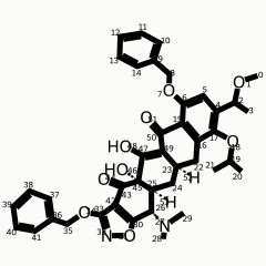 COC(C)c1cc(OCc2ccccc2)c2c(c1OC(C)C)C[C@H]1C[C@H]3[C@H](N(C)C)c4onc(OCc5ccccc5)c4C(=O)[C@@]3(O)C(O)=C1C2=O